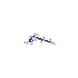 CNCCCNC(=O)/C=C/CNC(C)Nc1cc(C)[nH]n1